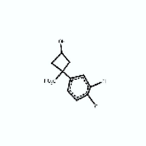 O=C(O)C1(c2ccc(Cl)c(Cl)c2)CC(O)C1